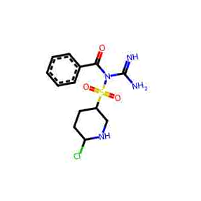 N=C(N)N(C(=O)c1ccccc1)S(=O)(=O)C1CCC(Cl)NC1